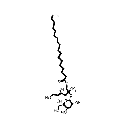 CCCCCCCCCCCCCCCCCC(=O)OCC(C)(C[C@H](O)[C@H](O)CO)O[C@H]1O[C@H](CO)[C@@H](O)C[C@H]1O